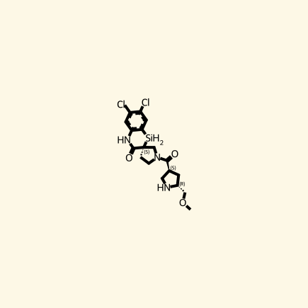 COC[C@H]1C[C@H](C(=O)N2CC[C@@]3(C2)[SiH2]c2cc(Cl)c(Cl)cc2NC3=O)CN1